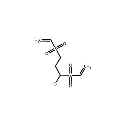 C=CS(=O)(=O)CCC(O)S(=O)(=O)C=C